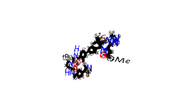 COC(=O)CC1N=C(c2ccc(-c3ccc(C(=O)NC(C(=O)N4CCCC4C(=O)NC(C)c4ccc(-c5scnc5C)cc4)C(C)(C)C)c(C)c3)cc2)c2c(sc(C)c2C)-n2c(C)nnc21